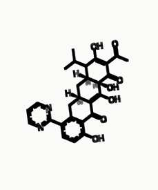 CC(=O)C1=C(O)C(C(C)C)[C@H]2C[C@H]3Cc4c(-c5ncccn5)ccc(O)c4C(=O)C3=C(O)[C@@]2(O)C1=O